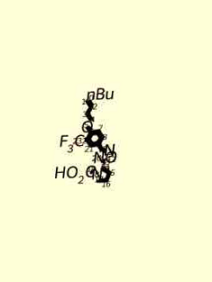 CCCCC=CCCOc1ccc(-c2noc([C@@H]3CCCN3C(=O)O)n2)cc1C(F)(F)F